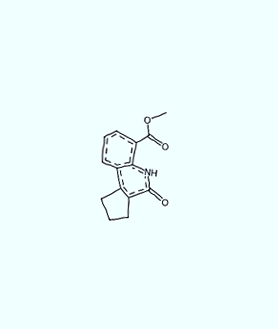 COC(=O)c1cccc2c3c(c(=O)[nH]c12)CCC3